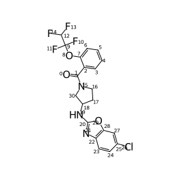 O=C(c1ccccc1OC(F)(F)C(F)F)N1CCC(Nc2nc3ccc(Cl)cc3o2)C1